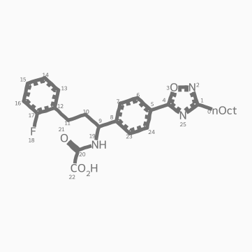 CCCCCCCCc1noc(-c2ccc(C(CCc3ccccc3F)NC(=O)C(=O)O)cc2)n1